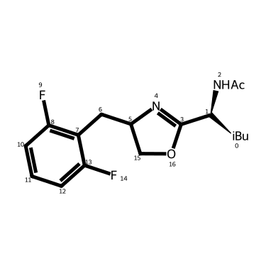 CC[C@H](C)[C@H](NC(C)=O)C1=NC(Cc2c(F)cccc2F)CO1